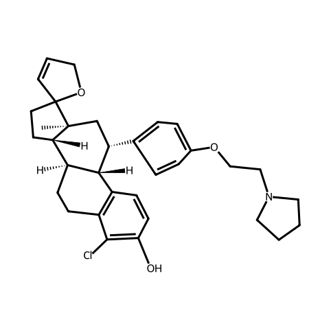 C[C@]12C[C@H](c3ccc(OCCN4CCCC4)cc3)[C@@H]3c4ccc(O)c(Cl)c4CC[C@H]3[C@@H]1CCC21C=CCO1